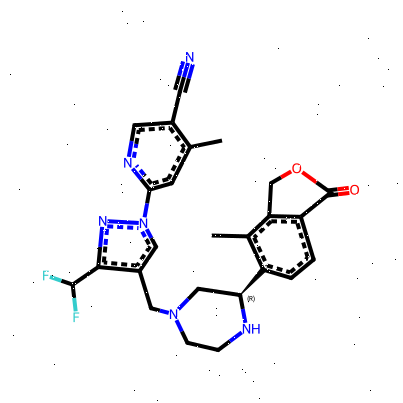 Cc1cc(-n2cc(CN3CCN[C@H](c4ccc5c(c4C)COC5=O)C3)c(C(F)F)n2)ncc1C#N